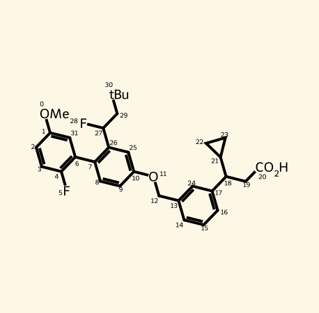 COc1ccc(F)c(-c2ccc(OCc3cccc(C(CC(=O)O)C4CC4)c3)cc2C(F)CC(C)(C)C)c1